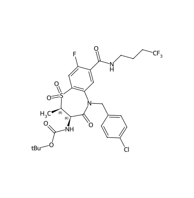 C[C@@H]1[C@H](NC(=O)OC(C)(C)C)C(=O)N(Cc2ccc(Cl)cc2)c2cc(C(=O)NCCCC(F)(F)F)c(F)cc2S1(=O)=O